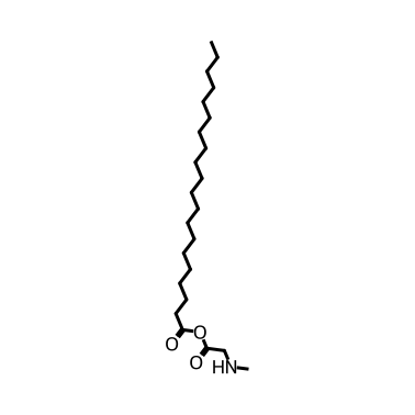 CCCCCCCCCCCCCCCCCCCC(=O)OC(=O)CNC